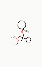 COCC(COC)(COC1(C)CCCCCCC1)C1CCCC1